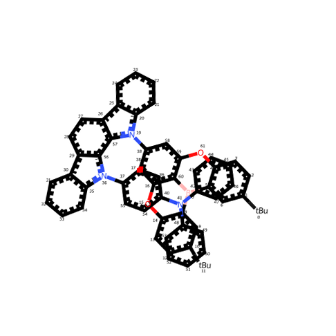 CC(C)(C)c1ccc2c(c1)B1c3cc(C(C)(C)C)ccc3Oc3cc(-n4c5ccccc5c5ccc6c7ccccc7n(-c7ccc(N(c8ccccc8)c8ccccc8)cc7)c6c54)cc(c31)O2